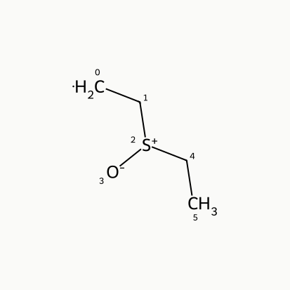 [CH2]C[S+]([O-])CC